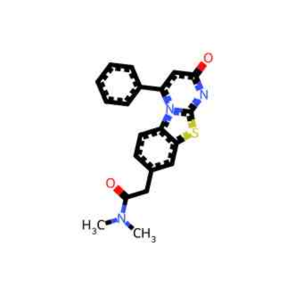 CN(C)C(=O)Cc1ccc2c(c1)sc1nc(=O)cc(-c3ccccc3)n12